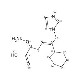 NOC(C/C=C(/Cn1ccnc1)C1CCCCC1)C(=O)O